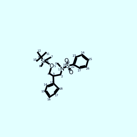 CN(CC(CO[Si](C)(C)C(C)(C)C)c1ccccc1)S(=O)(=O)c1ccccc1